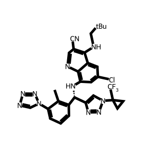 Cc1c([C@H](Nc2cc(Cl)cc3c(NCC(C)(C)C)c(C#N)cnc23)c2cn(C3(C(F)(F)F)CC3)nn2)cccc1-n1cnnn1